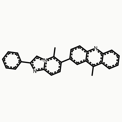 Cc1c2ccccc2nc2ccc(-c3ccc4nc(-c5ccccc5)cn4c3C)cc12